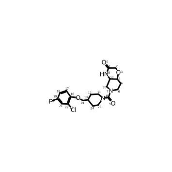 O=C1COC2CCN(C(=O)N3CCC(COc4ccc(F)cc4Cl)CC3)CC2N1